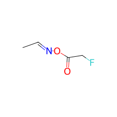 CC=NOC(=O)CF